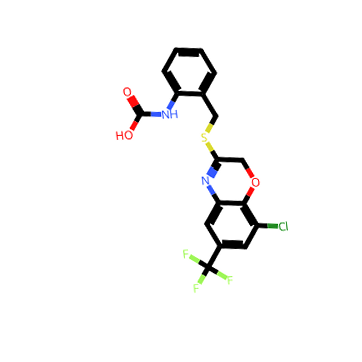 O=C(O)Nc1ccccc1CSC1=Nc2cc(C(F)(F)F)cc(Cl)c2OC1